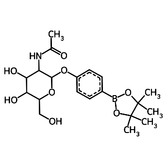 CC(=O)NC1C(Oc2ccc(B3OC(C)(C)C(C)(C)O3)cc2)OC(CO)C(O)C1O